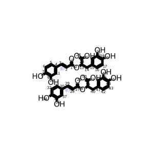 O=C(/C=C/c1ccc(O)c(O)c1)OC(Cc1ccc(O)c(O)c1)C(=O)O.O=C(/C=C/c1ccc(O)c(O)c1)OC(Cc1ccc(O)c(O)c1)C(=O)O